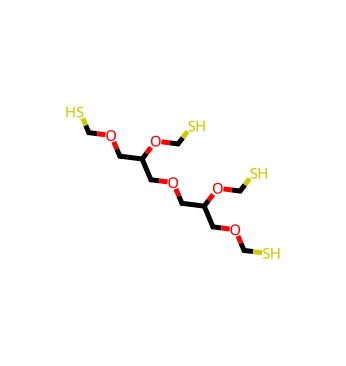 SCOCC(COCC(COCS)OCS)OCS